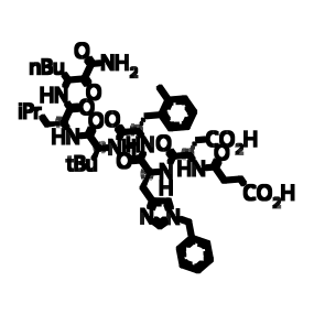 CCCCC(NC(=O)[C@H](CC(C)C)NC(=O)[C@@H](NC(=O)[C@H](Cc1ccccc1C)NC(=O)[C@H](Cc1cn(Cc2ccccc2)cn1)NC(=O)[C@H](CC(=O)O)NC(=O)CCC(=O)O)C(C)(C)C)C(=O)C(N)=O